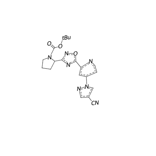 CC(C)(C)OC(=O)N1CCCC1c1noc(-c2cc(-n3cc(C#N)cn3)ccn2)n1